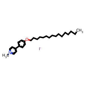 CCCCCCCCCCCCCCCCOc1ccc(-c2cc[n+](C)cc2)cc1.[I-]